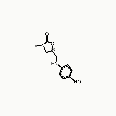 CN1C[C@H](CNc2ccc(N=O)cc2)OC1=O